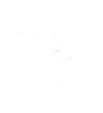 Nc1nc(C(=NOCCCCl)C(=O)NC2Cc3cccc(C(=O)O)c3OB2O)cs1